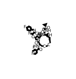 Cc1nc2ccc(F)cc2nc1O[C@@H]1C[C@H]2C(=O)N[C@]3(C(=O)NS(=O)(=O)C4CC4)C[C@H]3C=CCCCCC[C@H](NC(=O)c3ccncc3F)C(=O)N2C1